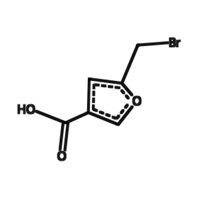 O=C(O)c1coc(CBr)c1